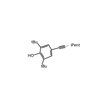 CCC[C@@H](C)C#Cc1cc(C(C)(C)C)c(O)c(C(C)(C)C)c1